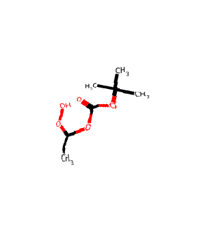 CC(OO)OC(=O)OC(C)(C)C